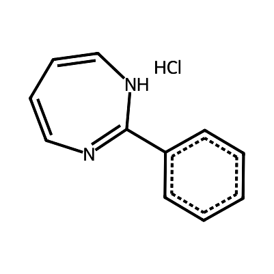 C1=CN=C(c2ccccc2)NC=C1.Cl